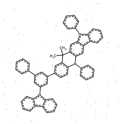 CC1(C)c2cc(-c3cc(-c4ccccc4)cc(-n4c5ccccc5c5ccccc54)c3)ccc2N(c2ccccc2)c2cc3c4ccccc4n(-c4ccccc4)c3cc21